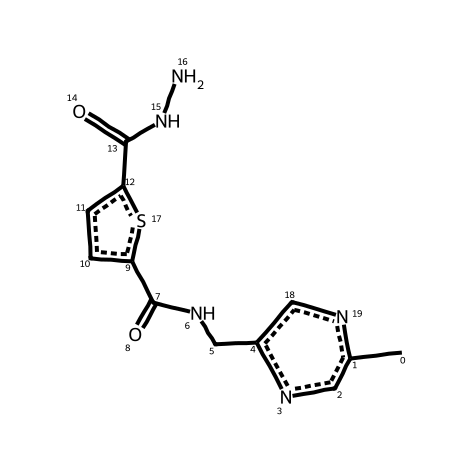 Cc1cnc(CNC(=O)c2ccc(C(=O)NN)s2)cn1